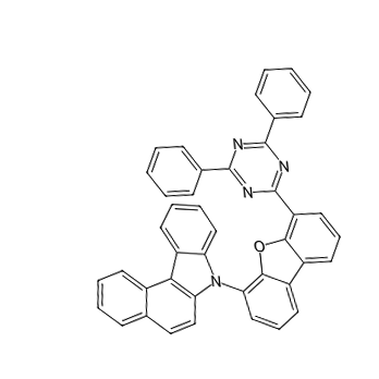 c1ccc(-c2nc(-c3ccccc3)nc(-c3cccc4c3oc3c(-n5c6ccccc6c6c7ccccc7ccc65)cccc34)n2)cc1